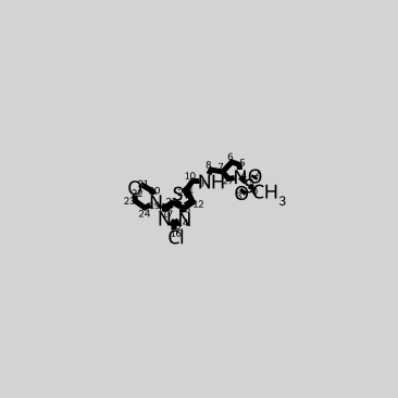 CS(=O)(=O)N1CCC(CNCc2cc3nc(Cl)nc(N4CCOCC4)c3s2)C1